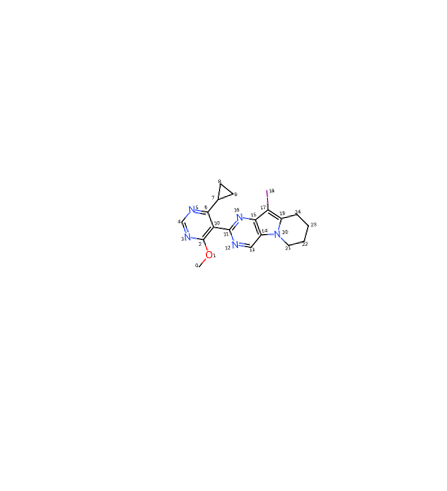 COc1ncnc(C2CC2)c1-c1ncc2c(n1)c(I)c1n2CCCC1